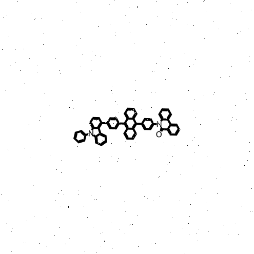 O=c1c2ccccc2c2ccccc2n1-c1ccc(-c2c3ccccc3c(-c3ccc(-c4cccc5c4c4ccccc4n5-c4ccccc4)cc3)c3ccccc23)cc1